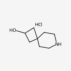 Cl.OC1CC2(CCNCC2)C1